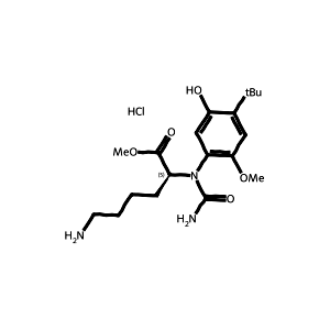 COC(=O)[C@H](CCCCN)N(C(N)=O)c1cc(O)c(C(C)(C)C)cc1OC.Cl